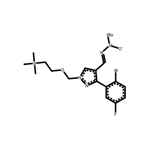 CC(C)(C)[S+]([O-])/N=C/c1cn(COCC[Si](C)(C)C)nc1-c1cc(F)ccc1Br